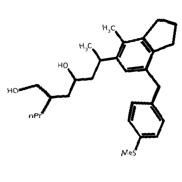 CCCC(CO)CC(O)CC(C)c1cc(Cc2ccc(SC)cc2)c2c(c1C)CCC2